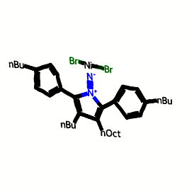 CCCCCCCCC1=C(c2ccc(CCCC)cc2)[N+](=[N-])C(c2ccc(CCCC)cc2)=C1CCCC.[Br][Ni][Br]